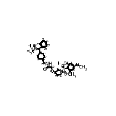 COc1cc(C)c(S(=O)(=O)N2CCC(OCC(=O)NCC3CCC(C(c4ccccc4)N(C)C)CC3)C2)c(C)c1